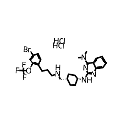 CN(C)c1nc(N[C@H]2CC[C@@H](CNCCCc3ccc(Br)cc3OC(F)(F)F)CC2)nc2ccccc12.Cl.Cl